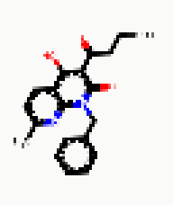 Cc1ccc2c(O)c(C(=O)CCC(=O)O)c(=O)n(Cc3ccccc3)c2n1